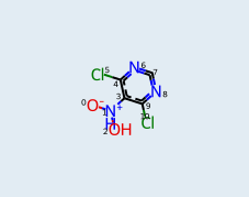 [O-][NH+](O)c1c(Cl)ncnc1Cl